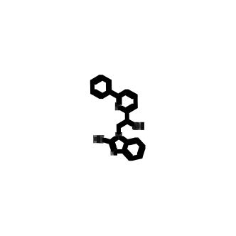 OC(Cn1c(S)nc2ccccc21)c1cccc(-c2ccccc2)n1